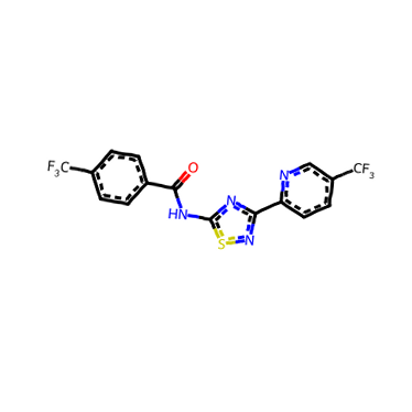 O=C(Nc1nc(-c2ccc(C(F)(F)F)cn2)ns1)c1ccc(C(F)(F)F)cc1